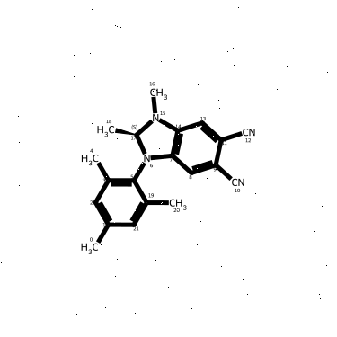 Cc1cc(C)c(N2c3cc(C#N)c(C#N)cc3N(C)[C@@H]2C)c(C)c1